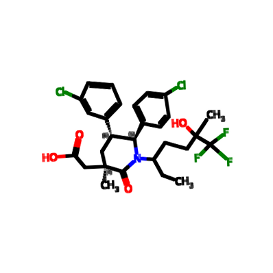 CCC(CCC(C)(O)C(F)(F)F)N1C(=O)[C@@](C)(CC(=O)O)C[C@H](c2cccc(Cl)c2)[C@H]1c1ccc(Cl)cc1